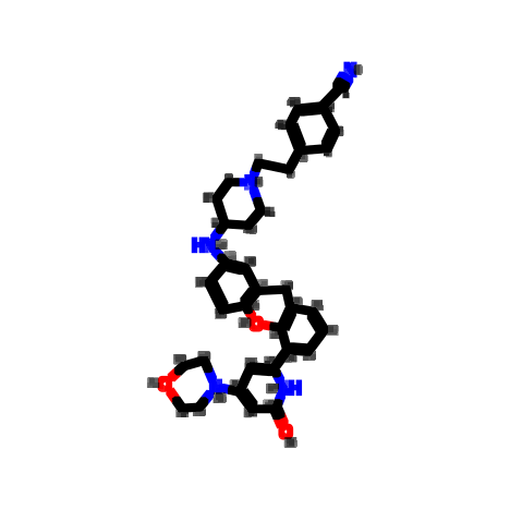 N#Cc1ccc(CCN2CCC(Nc3ccc4c(c3)Cc3cccc(-c5cc(N6CCOCC6)cc(=O)[nH]5)c3O4)CC2)cc1